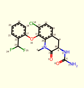 CN1C(=O)[C@H](NC(N)=O)Cc2ccc(Cl)c(Oc3ccccc3C(F)F)c21